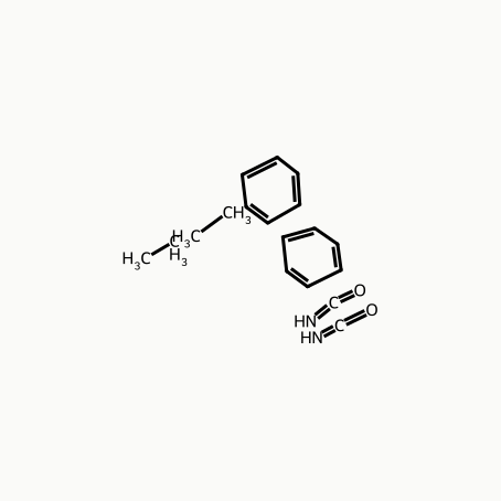 CC.CC.N=C=O.N=C=O.c1ccccc1.c1ccccc1